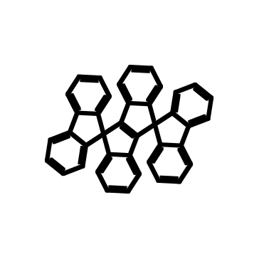 c1ccc2c(c1)C1=C(c3ccccc3C13c1ccccc1-c1ccccc13)C21c2ccccc2-c2ccccc21